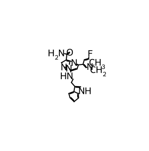 C=N/C=C(\C=C(/C)F)c1cc(NCCc2c[nH]c3ccccc23)n2ncc(C(N)=O)c2n1